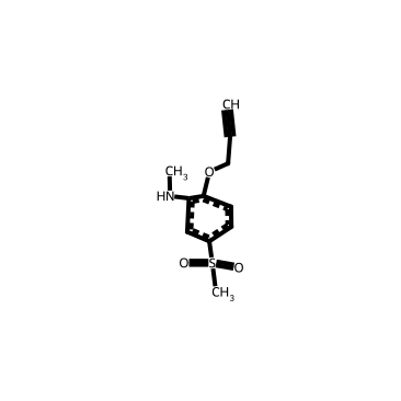 C#CCOc1ccc(S(C)(=O)=O)cc1NC